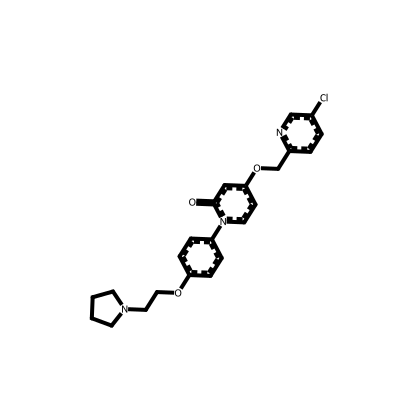 O=c1cc(OCc2ccc(Cl)cn2)ccn1-c1ccc(OCCN2CCCC2)cc1